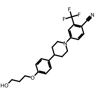 N#Cc1ccc(N2CCC(c3ccc(OCCCO)cc3)CC2)cc1C(F)(F)F